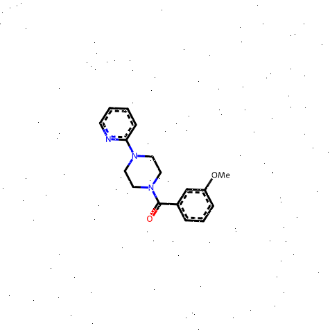 COc1cccc(C(=O)N2CCN(c3ccccn3)CC2)c1